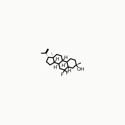 C=C(C)[C@H]1CC[C@H]2[C@@H]3CC(F)(F)[C@H]4C[C@@](C)(O)CC[C@@H]4[C@H]3CC[C@]12C